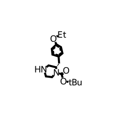 CCOc1ccc(C[C@H]2CNCCN2C(=O)OC(C)(C)C)cc1